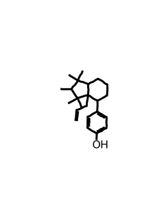 C=CCC12C(c3ccc(O)cc3)CCCC1C(C)(C)C(C)C2(C)C